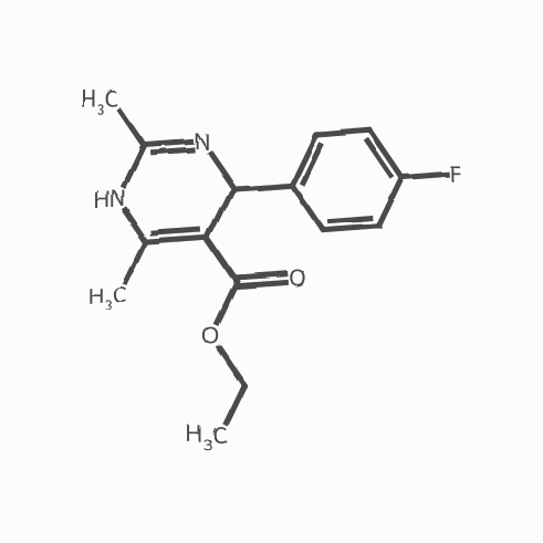 CCOC(=O)C1=C(C)NC(C)=NC1c1ccc(F)cc1